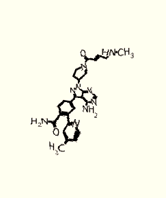 CNCC=CC(=O)N1CCC(n2nc(-c3ccc(C(N)=O)c(-c4cc(C)ccn4)c3)c3c(N)ncnc32)C1